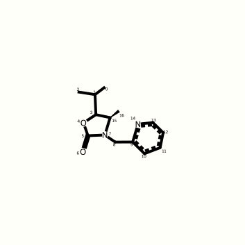 CC(C)C1OC(=O)N(Cc2ccccn2)[C@@H]1C